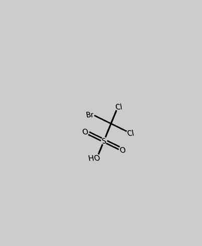 O=S(=O)(O)C(Cl)(Cl)Br